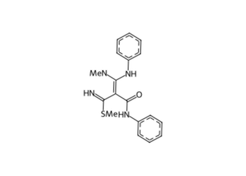 CN/C(Nc1ccccc1)=C(\C(=N)SC)C(=O)Nc1ccccc1